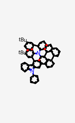 CC(C)(C)c1cc(-c2ccccc2N(c2ccccc2-c2cccc3cccc(-c4ccccc4)c23)c2ccccc2-c2cccc3c2c2ccccc2n3-c2ccccc2)cc(C(C)(C)C)c1